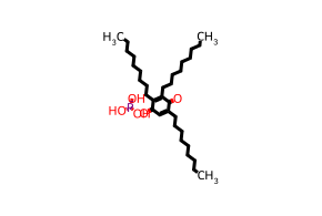 CCCCCCCCCC1=CC(=O)C(CCCCCCCCC)=C(CCCCCCCCC)C1=O.OP(O)O